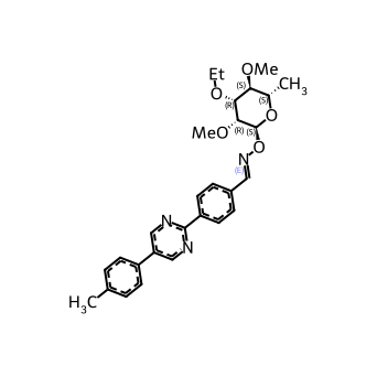 CCO[C@@H]1[C@@H](OC)[C@H](C)O[C@@H](O/N=C/c2ccc(-c3ncc(-c4ccc(C)cc4)cn3)cc2)[C@@H]1OC